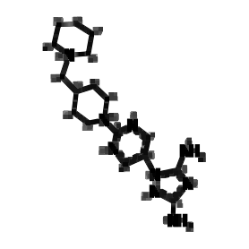 Nc1nc(N)n(-c2cnc(N3CCC(CN4CCCCC4)CC3)nc2)n1